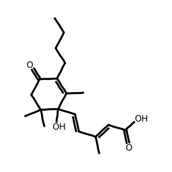 CCCCC1=C(C)C(O)(C=CC(C)=CC(=O)O)C(C)(C)CC1=O